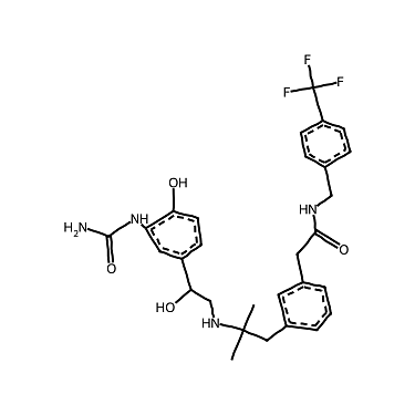 CC(C)(Cc1cccc(CC(=O)NCc2ccc(C(F)(F)F)cc2)c1)NCC(O)c1ccc(O)c(NC(N)=O)c1